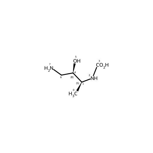 C[C@H](NC(=O)O)[C@H](O)CN